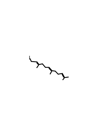 CC(C)=CCC/C(C)=C/CC/C(C)=C/CI